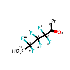 CC(C)C(=O)C(F)(F)C(F)(F)C(F)(F)C(=O)O